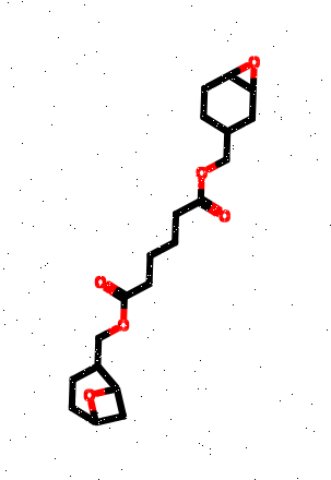 O=C(CCCCC(=O)OCC1CCC2CC1O2)OCC1CCC2OC2C1